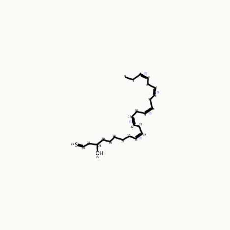 CC/C=C\C/C=C\C/C=C\C/C=C\C/C=C\CCCCCC(O)CC=S